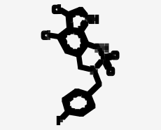 O=S1(=O)Nc2c(cc(Cl)c3c(Cl)c[nH]c23)CN1Cc1ccc(F)cc1